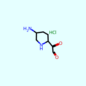 Cl.NC1CCC(C(=O)C=O)NC1